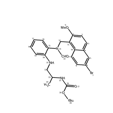 COc1ccc2cc(Br)ccc2c1CN(C=O)c1ccccc1NCC(C)NC(=O)OC(C)(C)C